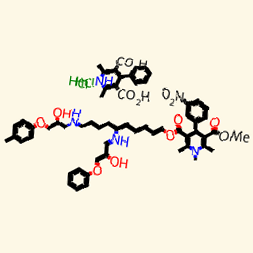 CC1=C(C(=O)O)C(c2ccccc2)C(C(=O)O)=C(C)N1.COC(=O)C1=C(C)N(C)C(C)=C(C(=O)OCCCCCC(CCCCNCC(O)COc2ccc(C)cc2)NCC(O)COc2ccccc2)C1c1cccc([N+](=O)[O-])c1.Cl.Cl